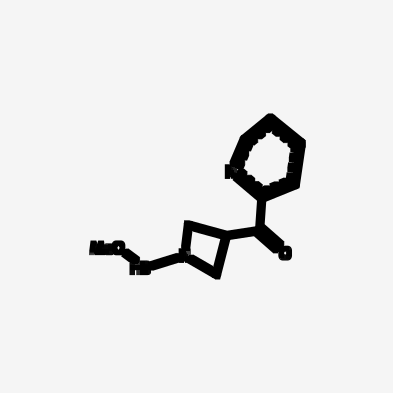 COBN1CC(C(=O)c2ccccn2)C1